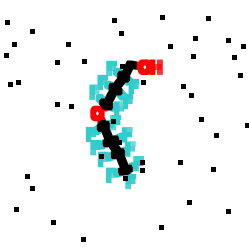 OCC(F)(F)C(F)(F)C(F)(F)OC(F)(F)C(F)(F)C(F)(F)C(F)(F)F